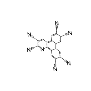 N#Cc1cc2c3cc(C#N)c(C#N)cc3c3nc(C#N)c(C#N)cc3c2cc1C#N